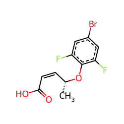 C[C@H](/C=C\C(=O)O)Oc1c(F)cc(Br)cc1F